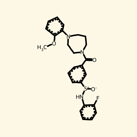 COc1ccccc1N1CCCN(C(=O)c2cccc([S+]([O-])Nc3ccccc3F)c2)CC1